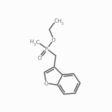 CCOP(C)(=O)Cc1coc2ccccc12